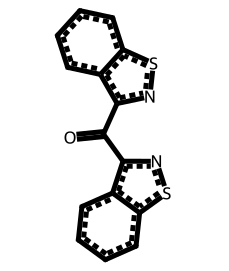 O=C(c1nsc2ccccc12)c1nsc2ccccc12